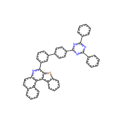 c1ccc(-c2nc(-c3ccccc3)nc(-c3ccc(-c4cccc(-c5nc6ccc7ccccc7c6c6c5sc5ccccc56)c4)cc3)n2)cc1